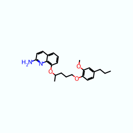 CCCc1ccc(OCCCC(C)Oc2cccc3ccc(N)nc23)c(OC)c1